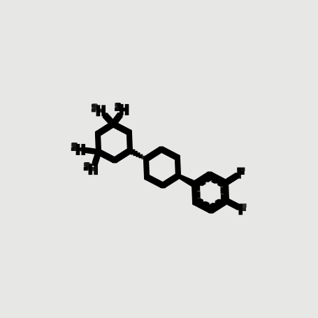 [2H]C1([2H])CC([C@H]2CC[C@H](c3ccc(F)c(F)c3)CC2)CC([2H])([2H])C1